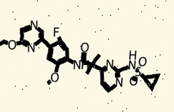 CCOc1cncc(-c2cc(OC)c(NC(=O)C(C)(C)c3ccnc(NS(=O)(=O)C4CC4)n3)cc2F)n1